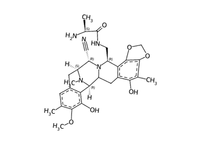 COc1c(C)cc2c(c1O)[C@@H]1C3Cc4c(O)c(C)c5c(c4[C@H](CNC(=O)[C@H](C)N)N3[C@@H](C#N)[C@H](C2)N1C)OCO5